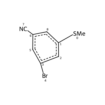 CSc1cc(Br)cc(C#N)c1